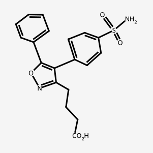 NS(=O)(=O)c1ccc(-c2c(CCCC(=O)O)noc2-c2ccccc2)cc1